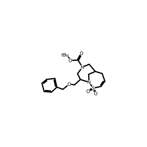 CC(C)(C)OC(=O)N1CC2CC=CS(=O)(=O)N(C2)C(COCc2ccccc2)C1